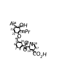 CCCc1c(OCc2cccc(S(=O)(=O)c3cc(C(=O)O)ccn3)c2)ccc(C(C)=O)c1O